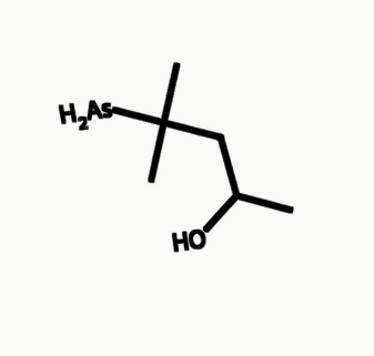 CC(O)CC(C)(C)[AsH2]